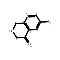 O=C1COCc2ncc(Br)cc21